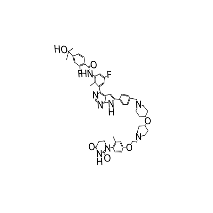 Cc1cc(OCCN2CCC(OC3CCN(Cc4ccc(-c5cc6c(-c7cc(F)cc(NC(=O)c8ccc(C(C)(C)O)cc8F)c7C)ncnc6[nH]5)cc4)CC3)CC2)ccc1N1CCC(=O)NC1=O